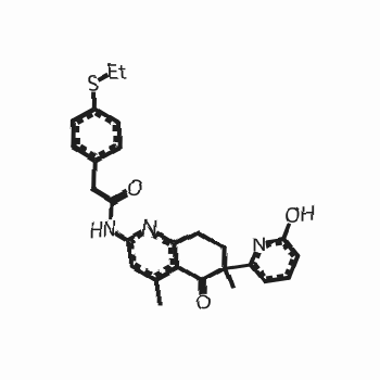 CCSc1ccc(CC(=O)Nc2cc(C)c3c(n2)CCC(C)(c2cccc(O)n2)C3=O)cc1